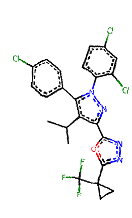 CC(C)c1c(-c2nnc(C3(C(F)(F)F)CC3)o2)nn(-c2ccc(Cl)cc2Cl)c1-c1ccc(Cl)cc1